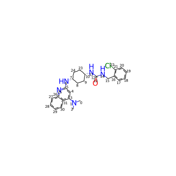 CN(C)c1cc(N[C@H]2CC[C@@H](NC(=O)NCc3ccccc3Cl)CC2)nc2ccccc12